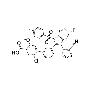 COc1cc(-c2cccc(-c3c(-c4ccsc4C#N)c4cc(F)ccc4n3S(=O)(=O)c3ccc(C)cc3)c2)c(Cl)cc1C(=O)O